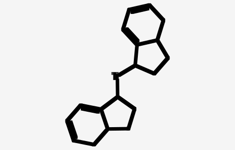 C1=CCC2CC[CH]([Ti][CH]3CCC4CC=CC=C43)C2=C1